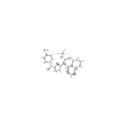 CC(C)(C)OC(=O)N(c1csc(C(=O)c2ccc(F)cc2)n1)c1ncnc2ccccc12